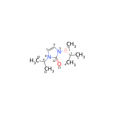 CB(C(C)C)n1ccn(C(C)C)c1=O